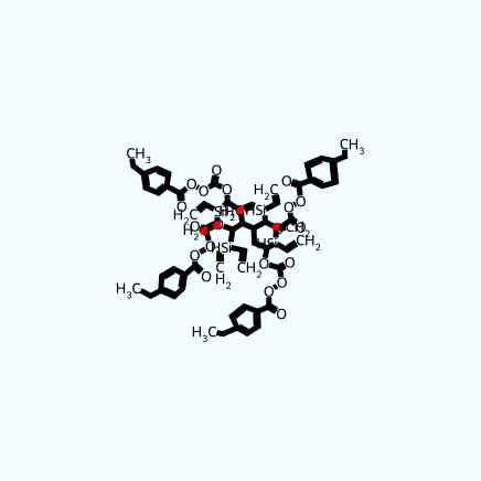 C=C[SiH](C=C)C(CC(C(CC(OC(=O)OOC(=O)c1ccc(CC)cc1)[SiH](C=C)C=C)C(OC(=O)OOC(=O)c1ccc(CC)cc1)[SiH](C=C)C=C)C(OC(=O)OOC(=O)c1ccc(CC)cc1)[SiH](C=C)C=C)OC(=O)OOC(=O)c1ccc(CC)cc1